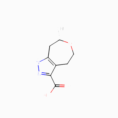 C[C@H]1Cc2[nH]nc(C(=O)O)c2CCO1